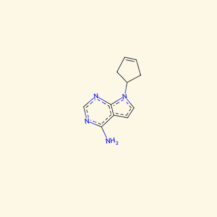 Nc1ncnc2c1ccn2C1CC=CC1